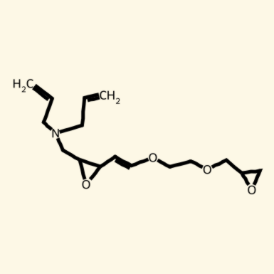 C=CCN(CC=C)CC1OC1/C=C/OCCOCC1CO1